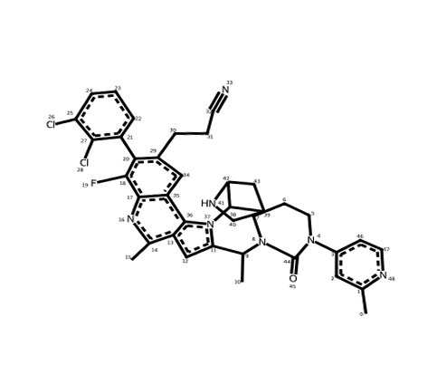 Cc1cc(N2CCCN(C(C)c3cc4c(C)nc5c(F)c(-c6cccc(Cl)c6Cl)c(CCC#N)cc5c4n3C3C4CNC3C4)C2=O)ccn1